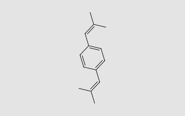 CC(C)=Cc1ccc(C=C(C)C)cc1